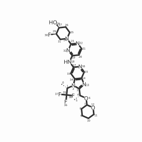 C[C@H](n1c([C@@H](C)OC2CCCCO2)nc2cnc(Nc3ccnc(N4CC[C@H](O)[C@H](F)C4)n3)cc21)C(F)(F)F